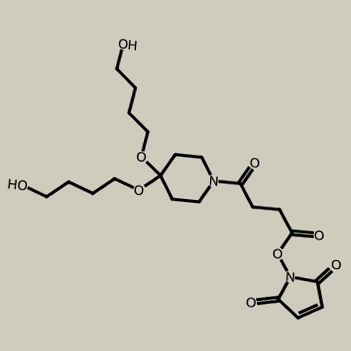 O=C(CCC(=O)N1CCC(OCCCCO)(OCCCCO)CC1)ON1C(=O)C=CC1=O